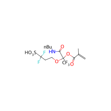 C=C(C)C(=O)OC(OCCC(F)(F)S(=O)(=O)O)(C(=O)NCCCC)C(F)(F)F